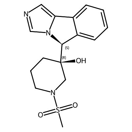 CS(=O)(=O)N1CCC[C@](O)([C@@H]2c3ccccc3-c3cncn32)C1